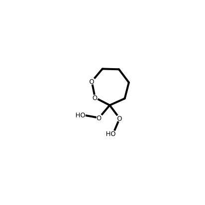 OOC1(OO)CCCCOO1